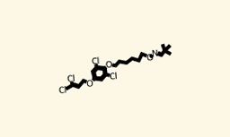 CC(C)(C)/C=N/OCCCCCCOc1c(Cl)cc(OCC=C(Cl)Cl)cc1Cl